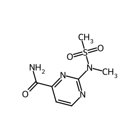 CN(c1nccc(C(N)=O)n1)S(C)(=O)=O